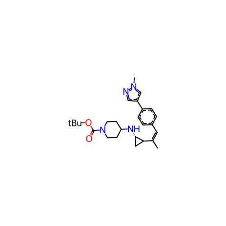 CC(=Cc1ccc(-c2cnn(C)c2)cc1)C1C[C@@H]1NC1CCN(C(=O)OC(C)(C)C)CC1